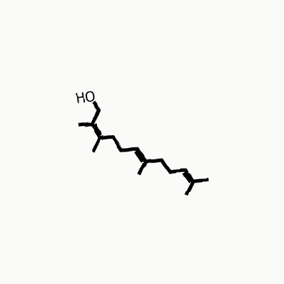 CC(C)=CCC/C(C)=C/CC/C(C)=C(/C)CO